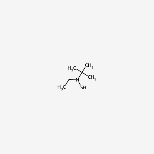 CCN(S)C(C)(C)C